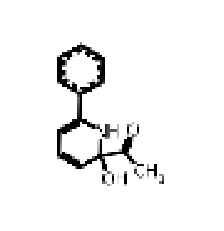 CC(=O)C1(O)C=CC=C(c2ccccc2)N1